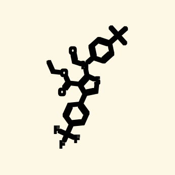 CCOC(=O)c1c(-c2ccc(C(F)(F)F)cc2)csc1N(C=O)c1ccc(C(C)(C)C)cc1